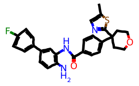 Cc1cnc(C2(c3ccc(C(=O)Nc4cc(-c5ccc(F)cc5)ccc4N)cc3)CCOCC2)s1